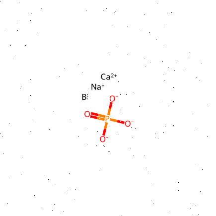 O=P([O-])([O-])[O-].[B].[Ca+2].[Na+]